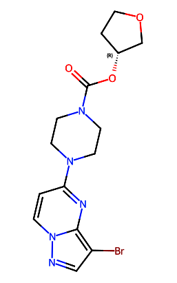 O=C(O[C@@H]1CCOC1)N1CCN(c2ccn3ncc(Br)c3n2)CC1